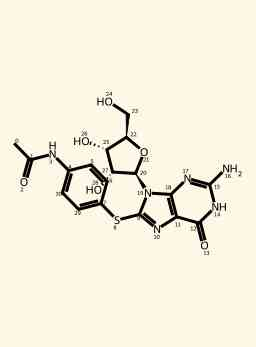 CC(=O)Nc1ccc(Sc2nc3c(=O)[nH]c(N)nc3n2[C@@H]2O[C@H](CO)[C@@H](O)[C@H]2O)cc1